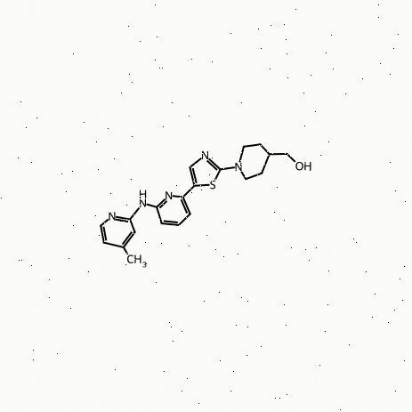 Cc1ccnc(Nc2cccc(-c3cnc(N4CCC(CO)CC4)s3)n2)c1